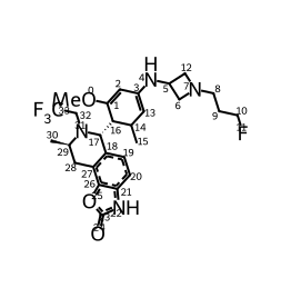 COC1=CC(NC2CN(CCCF)C2)=CC(C)C1[C@@H]1c2ccc3[nH]c(=O)oc3c2C[C@@H](C)N1CC(F)(F)F